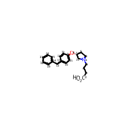 O=C(O)CCCN1CC[C@@H](Oc2ccc(Cc3ccccc3)cc2)C1